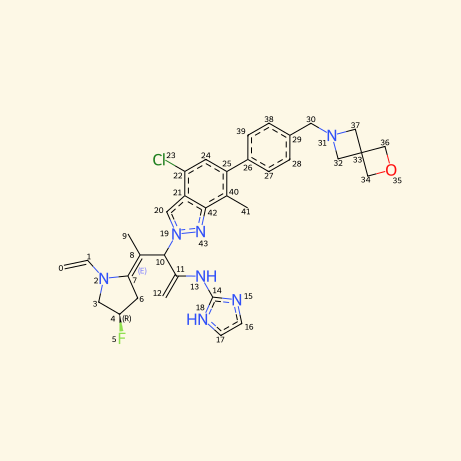 C=CN1C[C@H](F)C/C1=C(/C)C(C(=C)Nc1ncc[nH]1)n1cc2c(Cl)cc(-c3ccc(CN4CC5(COC5)C4)cc3)c(C)c2n1